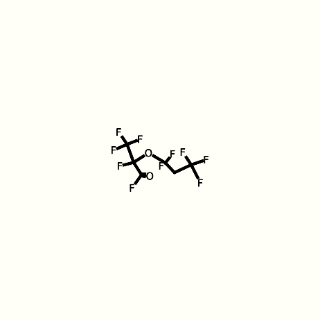 O=C(F)C(F)(OC(F)(F)CC(F)(F)F)C(F)(F)F